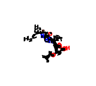 C=C(C)C1=N[C@](C)(C(=O)N[C@H](CCC)C2=CC(OCC3CC3)=CC(O)O2)CS1